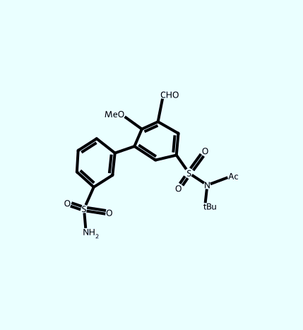 COc1c(C=O)cc(S(=O)(=O)N(C(C)=O)C(C)(C)C)cc1-c1cccc(S(N)(=O)=O)c1